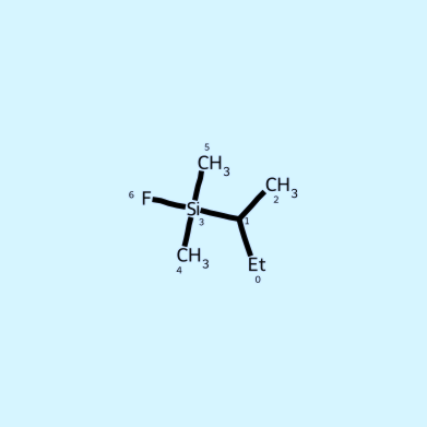 CCC(C)[Si](C)(C)F